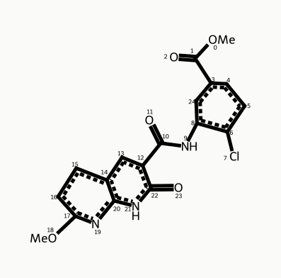 COC(=O)c1ccc(Cl)c(NC(=O)c2cc3ccc(OC)nc3[nH]c2=O)c1